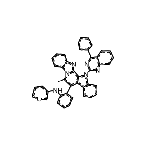 Cc1c(-c2ccccc2Nc2ccccc2)c2c3ccccc3n(-c3nc(-c4ccccc4)c4ccccc4n3)c2c2nc3ccccc3n12